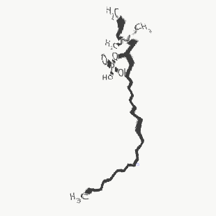 C=CC[N+](C)(C)CC(CCCCCCCCCCCC/C=C\CCCCCCCC)OP(=O)(O)O